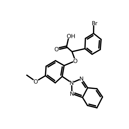 COc1ccc(OC(C(=O)O)c2cccc(Br)c2)c(-n2nc3ccccc3n2)c1